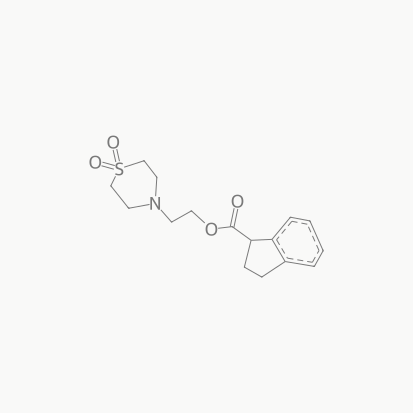 O=C(OCCN1CCS(=O)(=O)CC1)C1CCc2ccccc21